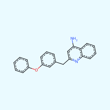 Nc1cc(Cc2cccc(Oc3ccccc3)c2)nc2ccccc12